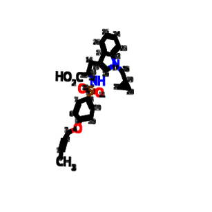 CC#CCOc1ccc(S(=O)(=O)N[C@H](Cc2cn(CC3CC3)c3ccccc23)C(=O)O)cc1